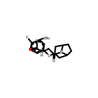 CC(C)(C)OC(=O)NCC(=O)N1C2CCC1CC(Oc1ccc(F)cc1)C2